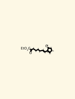 CCOC(=O)C(=O)CCCCC=CC1=CCCC1=O